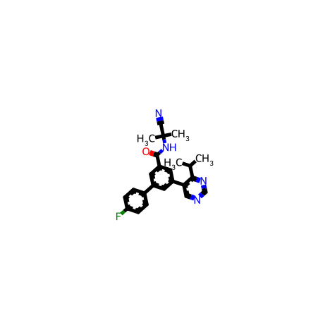 CC(C)c1ncncc1-c1cc(C(=O)NC(C)(C)C#N)cc(-c2ccc(F)cc2)c1